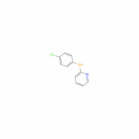 Clc1ccc(Pc2ccccn2)cc1